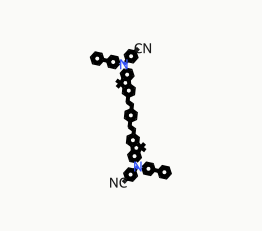 CC1(C)c2cc(/C=C/c3ccc(/C=C/c4ccc5c(c4)C(C)(C)c4cc(N(c6ccc(C#N)cc6)c6ccc(-c7ccccc7)cc6)ccc4-5)cc3)ccc2-c2ccc(N(c3ccc(C#N)cc3)c3ccc(-c4ccccc4)cc3)cc21